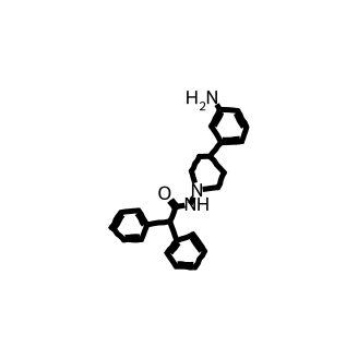 Nc1cccc(C2CCN(NC(=O)C(c3ccccc3)c3ccccc3)CC2)c1